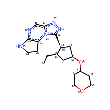 CC[C@@H]1C[C@H](OC2CCOCC2)C[C@@H]1c1nnc2cnc3c(n12)CCN3